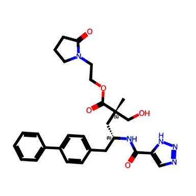 C[C@@](CO)(C[C@@H](Cc1ccc(-c2ccccc2)cc1)NC(=O)c1cnn[nH]1)C(=O)OCCN1CCCC1=O